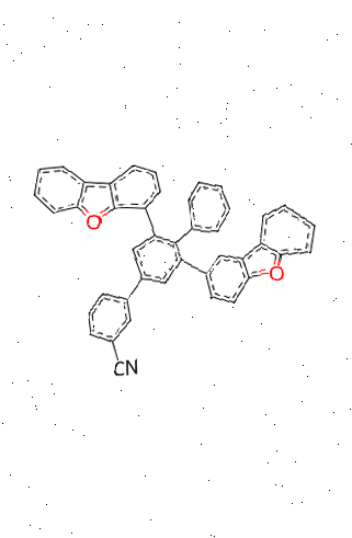 N#Cc1cccc(-c2cc(-c3ccc4oc5ccccc5c4c3)c(-c3ccccc3)c(-c3cccc4c3oc3ccccc34)c2)c1